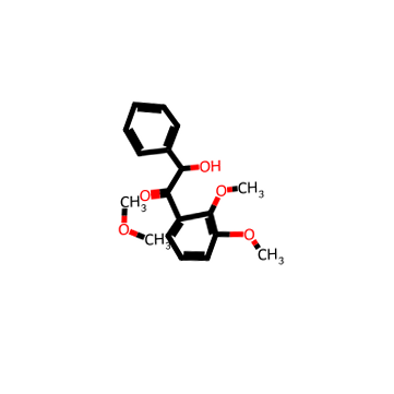 COC.COc1cccc(C(=O)C(O)c2ccccc2)c1OC